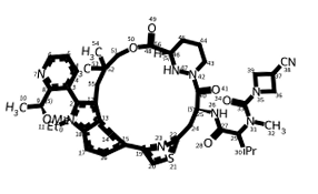 CCn1c(-c2cccnc2[C@H](C)OC)c2c3cc(ccc31)-c1csc(n1)C[C@H](NC(=O)C(C(C)C)N(C)C(=O)N1CC(C#N)C1)C(=O)N1CCC[C@H](N1)C(=O)OCC(C)(C)C2